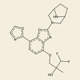 CC(O)(COc1ccc(-c2ncco2)c2oc(N3CC4CCC(C3)N4)nc12)C(F)F